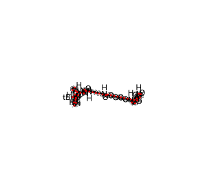 CC(C)(C)[C@H](NC(=O)C(NC(=O)c1cnc(C(=O)NCCCCCCCCNC(=O)CCOCCOCCOCCOCCNc2cccc3c2CN(C2CCC(=O)NC2=O)C3=O)cn1)C1CCCCC1)C(=O)N1C[C@H]2CCC[C@H]2C1